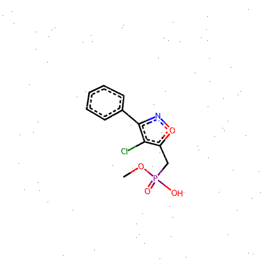 COP(=O)(O)Cc1onc(-c2ccccc2)c1Cl